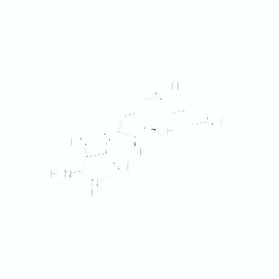 CN(CCCN)C[C@H]1O[C@@H](N2CNC3C(N)NCNC32)[C@H](O)[C@@H]1O